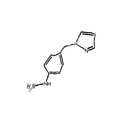 NNc1ccc(Cn2cncn2)cc1